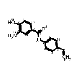 C=Cc1ccc(OC(=O)c2ccc(O)c(N)c2)cc1